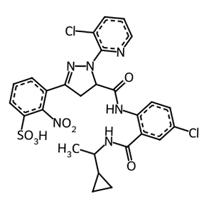 CC(NC(=O)c1cc(Cl)ccc1NC(=O)C1CC(c2cccc(S(=O)(=O)O)c2[N+](=O)[O-])=NN1c1ncccc1Cl)C1CC1